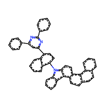 c1ccc(-c2cc(-c3ccc(-n4c5ccccc5c5c6ccc7ccc8ccccc8c7c6ccc54)c4ccccc34)nc(-c3ccccc3)n2)cc1